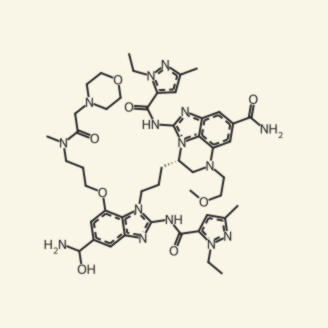 CCn1nc(C)cc1C(=O)Nc1nc2cc(C(N)O)cc(OCCCN(C)C(=O)CN3CCOCC3)c2n1CCC[C@H]1CN(CCOC)c2cc(C(N)=O)cc3nc(NC(=O)c4cc(C)nn4CC)n1c23